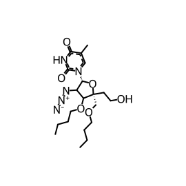 CCCCOC[C@@]1(CCO)O[C@@H](n2cc(C)c(=O)[nH]c2=O)C(N=[N+]=[N-])C1OCCCC